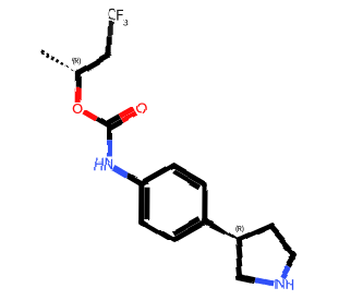 C[C@H](CC(F)(F)F)OC(=O)Nc1ccc([C@H]2CCNC2)cc1